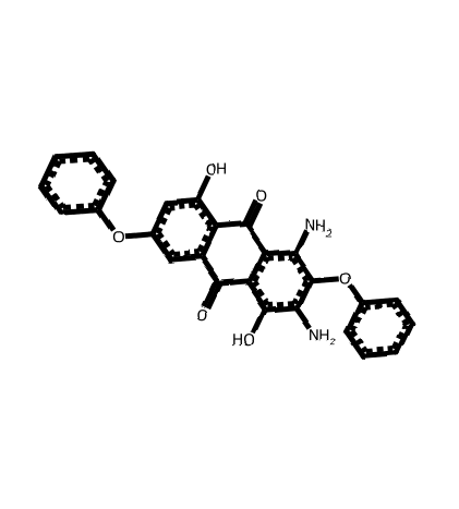 Nc1c(O)c2c(c(N)c1Oc1ccccc1)C(=O)c1c(O)cc(Oc3ccccc3)cc1C2=O